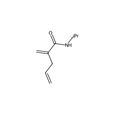 C=CCC(=C)C(=O)NC(C)C